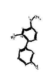 CSc1ccc(-c2cccc(Cl)c2)c(C)c1